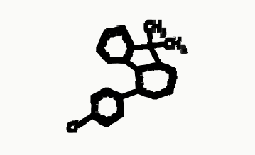 CC1(C)c2ccccc2-c2c(-c3ccc(Cl)cc3)cccc21